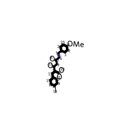 COc1ccc(/C=C/C(=O)CC(=O)c2cc3ccc(I)cc3oc2=O)cc1